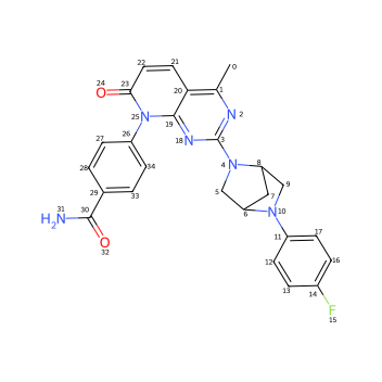 Cc1nc(N2CC3CC2CN3c2ccc(F)cc2)nc2c1ccc(=O)n2-c1ccc(C(N)=O)cc1